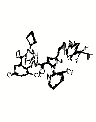 O=C(NC1CCC1)c1cc(Cl)cc(Cl)c1NC(=O)c1cc(Cn2ncc(C(F)(F)F)n2)nn1-c1ncccc1Cl